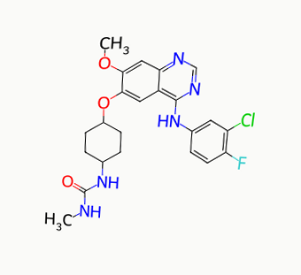 CNC(=O)NC1CCC(Oc2cc3c(Nc4ccc(F)c(Cl)c4)ncnc3cc2OC)CC1